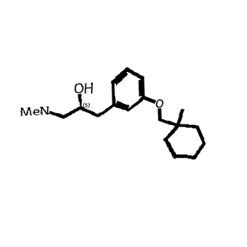 CNC[C@@H](O)Cc1cccc(OCC2(C)CCCCC2)c1